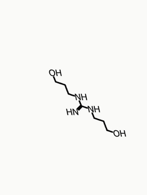 N=C(NCCCO)NCCCO